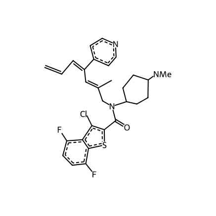 C=C/C=C(\C=C(/C)CN(C(=O)c1sc2c(F)ccc(F)c2c1Cl)C1CCC(NC)CC1)c1ccncc1